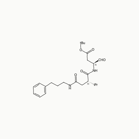 CC(C)[C@H](CC(=O)NCCCc1ccccc1)C(=O)N[C@H](C=O)CC(=O)OC(C)(C)C